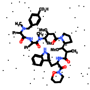 CCC(C)C(C(CC(=O)N1CCC[C@H]1C(OC)C(C)C(=O)NC(Cc1c[nH]c2ccccc12)C(=O)N1CCCCO1)OC)N(C)C(=O)C(NC(=O)C(C(C)C)N(C)Cc1ccc(C(=O)O)cc1)C(C)C